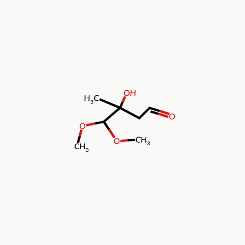 COC(OC)C(C)(O)CC=O